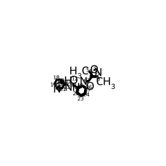 Cc1noc(C)c1-c1nc2c(C(=O)N[C@H]3CN4CCC3CC4)cccc2o1